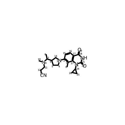 Cc1c(N2CCC(C(C)N(C)CCC#N)C2)ccc2c(=O)[nH]c(=O)n(C3CC3)c12